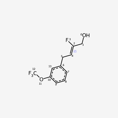 OC/C(F)=C/Cc1cccc(OC(F)(F)F)c1